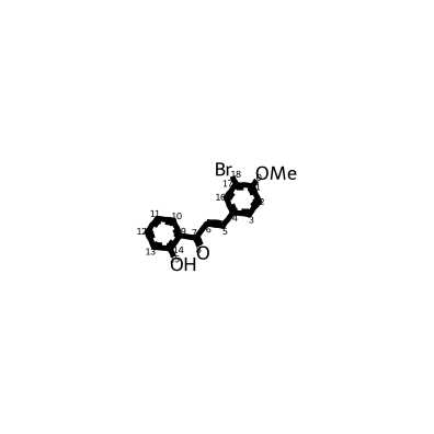 COc1ccc(C=CC(=O)c2ccccc2O)cc1Br